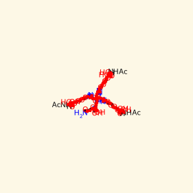 CC(=O)N[C@H]1[C@H]2OC[C@](COCCOCCOCCOCCn3cc(COCC(COCc4cn(CCOCCOCCOCCOC[C@@]56CO[C@@H](O5)[C@H](NC(C)=O)[C@@H](O)[C@H]6O)nn4)(COCc4cn(CCOCCOCCOCCOC[C@@]56CO[C@@H](O5)[C@H](NC(C)=O)[C@@H](O)[C@H]6O)nn4)NC(=O)CCCCCN(C(=O)CCCCCC(N)=O)C(CO)CO)nn3)(O2)[C@H](O)[C@@H]1O